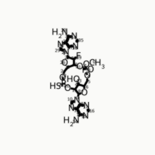 COP1(=O)OCC2OC(n3cnc4c(N)ncnc43)C(OP(S)OCC3OC(n4cnc5c(N)ncnc54)C(F)C3O1)C2O